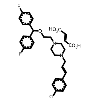 Fc1ccc(C(OCCN2CCN(CC=Cc3ccc(Cl)cc3)CC2)c2ccc(F)cc2)cc1.O=C(O)C=CC(=O)O